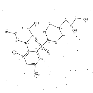 O=[N+]([O-])c1cc(C(F)(F)F)c(N(CCO)CCBr)c(S(=O)(=O)N2CCN(CC(O)CO)CC2)c1